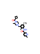 Cc1ccc(C(=O)Nc2cc(C#N)cc(CN3CCN(C(=O)C4CCC4)C(C)C3)c2C)cn1